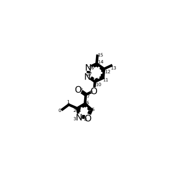 CCc1nocc1C(=O)Oc1cc(C)c(C)nn1